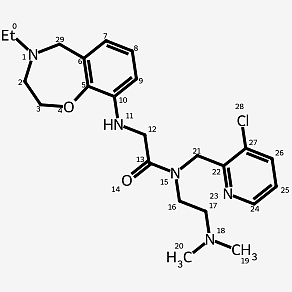 CCN1CCOc2c(cccc2NCC(=O)N(CCN(C)C)Cc2ncccc2Cl)C1